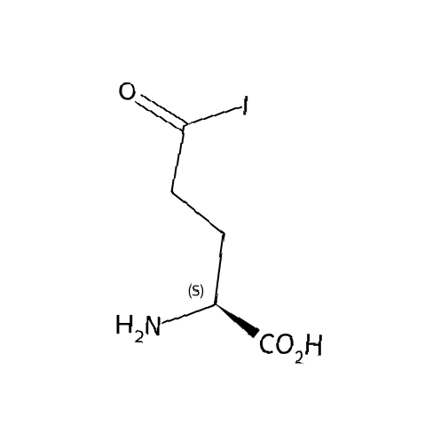 N[C@@H](CCC(=O)I)C(=O)O